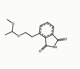 COC(C)OCCc1cccc2c1C(=O)NC2=O